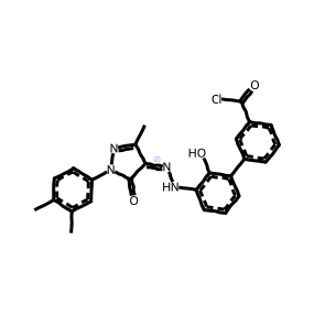 CC1=NN(c2ccc(C)c(C)c2)C(=O)/C1=N\Nc1cccc(-c2cccc(C(=O)Cl)c2)c1O